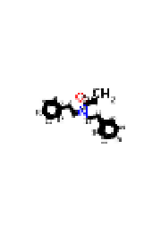 C=CC(=O)N(CCc1ccccc1)CCc1ccccc1